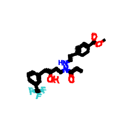 CCC(=O)N(CCC(O)Cc1cccc(C(F)(F)F)c1)NCCc1ccc(C(=O)OC)cc1